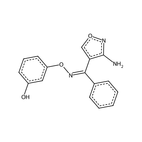 Nc1nocc1/C(=N\Oc1cccc(O)c1)c1ccccc1